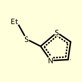 CCSc1n[c]cs1